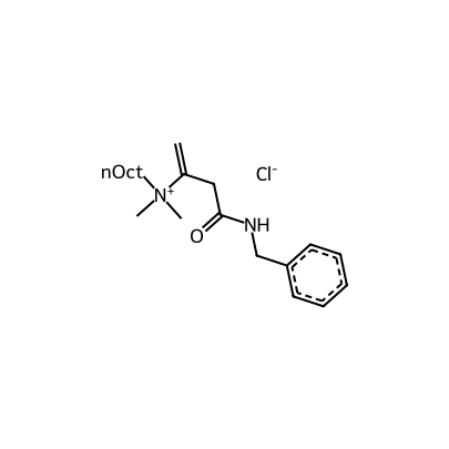 C=C(CC(=O)NCc1ccccc1)[N+](C)(C)CCCCCCCC.[Cl-]